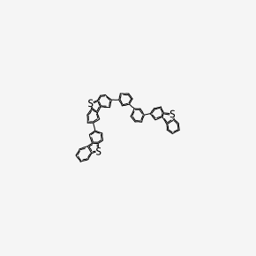 c1cc(-c2cccc(-c3ccc4sc5ccc(-c6ccc7sc8ccccc8c7c6)cc5c4c3)c2)cc(-c2ccc3sc4ccccc4c3c2)c1